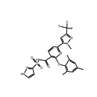 Cc1cc(C)c(Oc2nc(-c3cc(C(F)(F)F)nn3C)ccc2C(=O)NS(=O)(=O)c2cc[nH]n2)c(C)c1